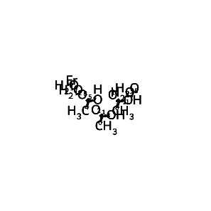 CC(=O)O.CC(=O)O.CC(=O)O.O.O.O.O.[Er]